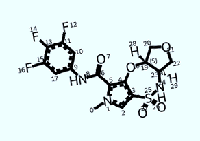 Cn1cc2c(c1C(=O)Nc1cc(F)c(F)c(F)c1)O[C@@H]1COC[C@H]1NS2(=O)=O